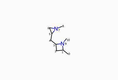 CC1CC(CC2CN2C)N1C